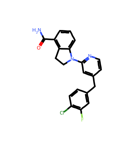 NC(=O)c1cccc2c1CCN2c1cc(Cc2ccc(Cl)c(F)c2)ccn1